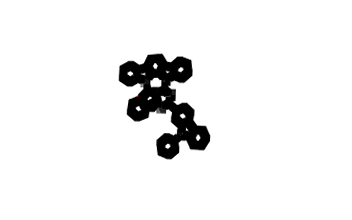 c1ccc(-c2nc(-c3ccc4c5ccccc5n(-c5ccccc5)c4c3)nc(-n3c4ccccc4c4ccc5c6ccccc6n(-c6ccccc6)c5c43)n2)cc1